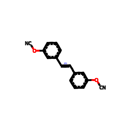 N#COc1cccc(/C=C/c2cccc(OC#N)c2)c1